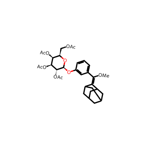 COC(=C1C2CC3CC(C2)CC1C3)c1cccc(O[C@@H]2O[C@H](COC(C)=O)[C@H](OC(C)=O)[C@H](OC(C)=O)[C@H]2OC(C)=O)c1